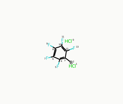 Cl.Cl.[B]c1c(F)c(F)c(F)c(F)c1F